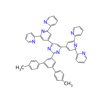 Cc1ccc(-c2cc(-c3ccc(C)cc3)cc(-c3nc(-c4cc(-c5ccccn5)nc(-c5ccccn5)c4)cc(-c4cc(-c5ccccn5)nc(-c5ccccn5)c4)n3)c2)cc1